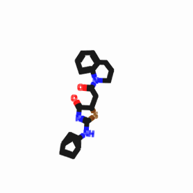 O=C1N=C(NC2CC3C=CC2C3)SC1CC(=O)N1CCCc2ccccc21